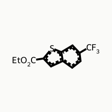 CCOC(=O)c1cc2ccc(C(F)(F)F)cc2s1